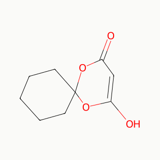 O=C1C=C(O)OC2(CCCCC2)O1